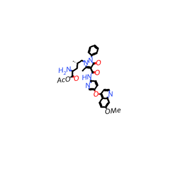 COc1ccc2c(Oc3ccc(NC(=O)c4c(C)n(C[C@@H](C)CC(N)C(=O)OC(C)=O)n(-c5ccccc5)c4=O)nc3)ccnc2c1